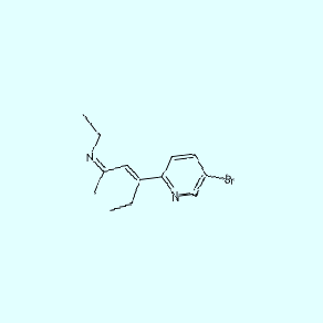 CC/N=C(C)\C=C(/CC)c1ccc(Br)cn1